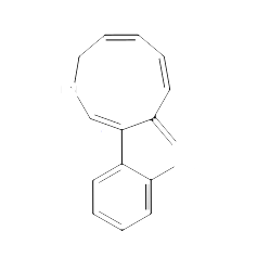 C=C1/C=C\C=C/CN/C=C\1c1ccccc1C(F)(F)F